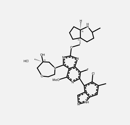 COc1nc(-c2c(Cl)c(C)cc3[nH]ncc23)c(F)c2nc(OC[C@]34CCC[C@H]3NC(C)CC4)nc(N3CCOC[C@@](C)(O)C3)c12.Cl